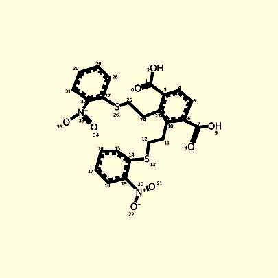 O=C(O)c1ccc(C(=O)O)c(CCSc2ccccc2[N+](=O)[O-])c1CCSc1ccccc1[N+](=O)[O-]